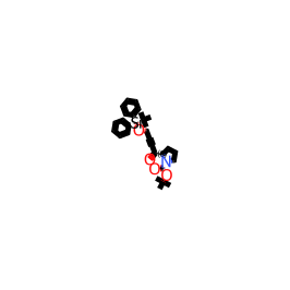 CC(C)(C)OC(=O)N1CCC[C@H]1C(=O)C#CCO[Si](c1ccccc1)(c1ccccc1)C(C)(C)C